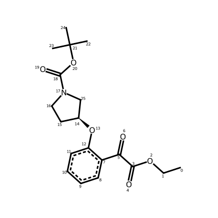 CCOC(=O)C(=O)c1ccccc1O[C@H]1CCN(C(=O)OC(C)(C)C)C1